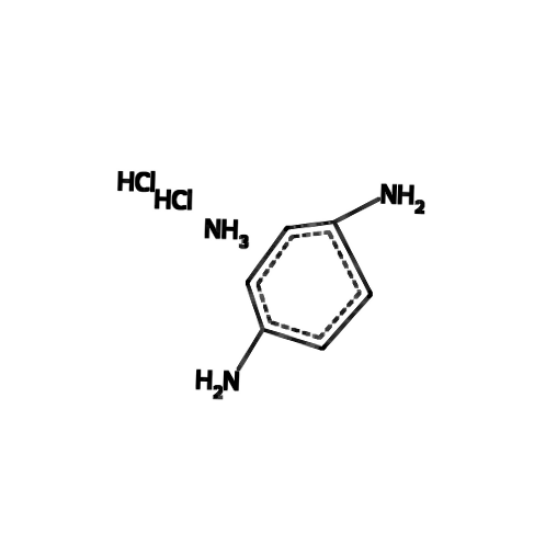 Cl.Cl.N.Nc1ccc(N)cc1